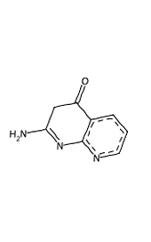 NC1=Nc2ncccc2C(=O)C1